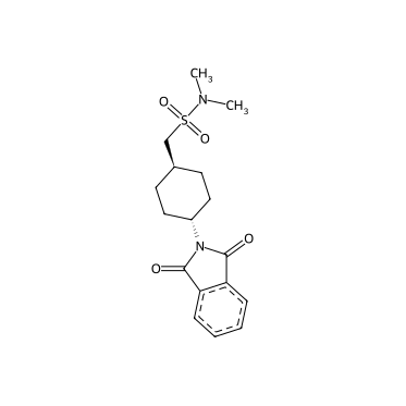 CN(C)S(=O)(=O)C[C@H]1CC[C@H](N2C(=O)c3ccccc3C2=O)CC1